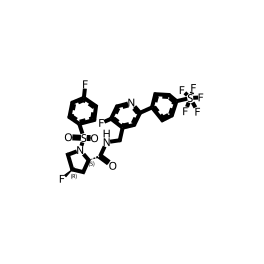 O=C(NCc1cc(-c2ccc(S(F)(F)(F)(F)F)cc2)ncc1F)[C@@H]1C[C@@H](F)CN1S(=O)(=O)c1ccc(F)cc1